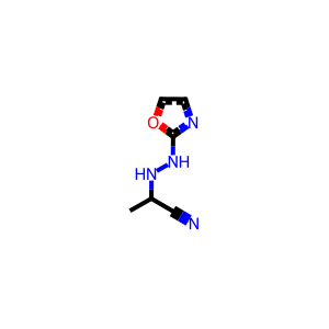 CC(C#N)NNc1ncco1